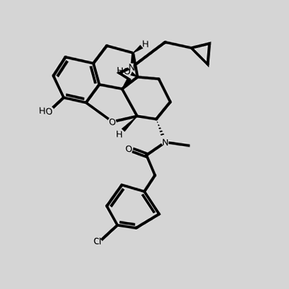 CN(C(=O)Cc1ccc(Cl)cc1)[C@H]1CC[C@@]2(O)[C@H]3Cc4ccc(O)c5c4[C@@]2(CCN3CC2CC2)[C@H]1O5